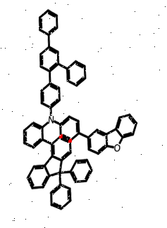 c1ccc(-c2ccc(-c3ccc(N(c4ccc(-c5ccc6oc7ccccc7c6c5)cc4)c4ccccc4-c4cccc5c4-c4ccccc4C5(c4ccccc4)c4ccccc4)cc3)c(-c3ccccc3)c2)cc1